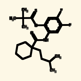 CC(C)CCC1(C(=O)Nc2cc(F)c(F)cc2OC(=S)C(C)(C)C)CCCCC1